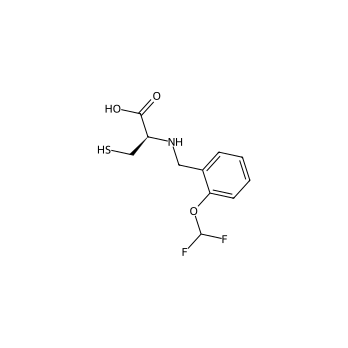 O=C(O)[C@H](CS)NCc1ccccc1OC(F)F